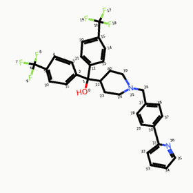 OC(c1ccc(C(F)(F)F)cc1)(c1ccc(C(F)(F)F)cc1)C1CCN(Cc2ccc(-c3ccccn3)cc2)CC1